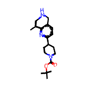 CC1CNCc2ccc(C3CCN(C(=O)OC(C)(C)C)CC3)nc21